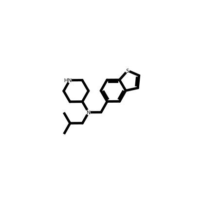 CC(C)CN(Cc1ccc2sccc2c1)C1CCNCC1